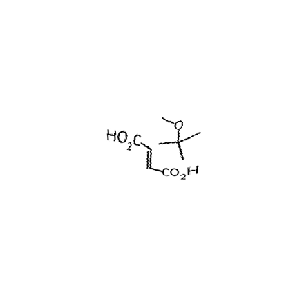 COC(C)(C)C.O=C(O)/C=C/C(=O)O